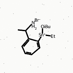 C[CH2][Sn+]([O]CC(C)C)[c]1ccccc1C(C)N.[Br-]